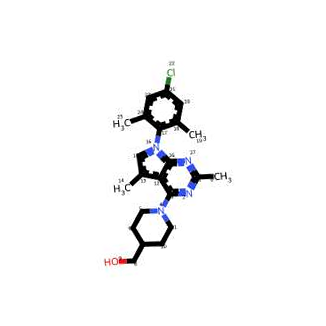 Cc1nc(N2CCC(CO)CC2)c2c(C)cn(-c3c(C)cc(Cl)cc3C)c2n1